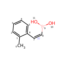 Cc1ccccc1/C=C\B(O)O